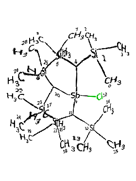 C[Si](C)(C)[CH]([Si](C)(C)C)[Sb]([Cl])([CH]([Si](C)(C)C)[Si](C)(C)C)[CH]([Si](C)(C)C)[Si](C)(C)C